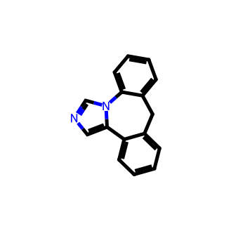 c1ccc2c(c1)Cc1ccccc1-n1cncc1-2